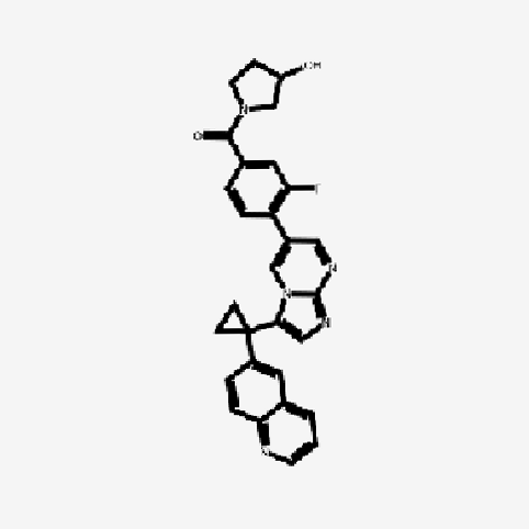 O=C(c1ccc(-c2cnc3ncc(C4(c5ccc6ncccc6c5)CC4)n3c2)c(F)c1)N1CCC(O)C1